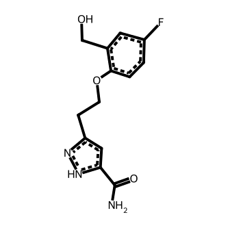 NC(=O)c1cc(CCOc2ccc(F)cc2CO)n[nH]1